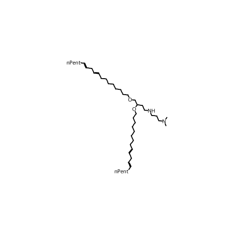 CCCCCC=CCC=CCCCCCCCCOCC(CCNCCCN(C)C)OCCCCCCCCC=CCC=CCCCCC